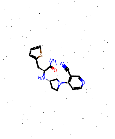 N#Cc1cnccc1N1CC[C@H](N[C@@H](Cc2cccs2)C(N)=O)C1